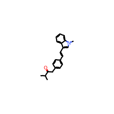 CC(C)C(=O)Cc1ccc(/C=C/c2cn(C)c3ccccc23)cc1